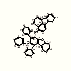 c1ccc(-n2c3ccccc3c3c4c5ccccc5sc4c4c(c5ccccc5n4-c4ccc5c6c(cccc46)-c4ccccc4-5)c32)cc1